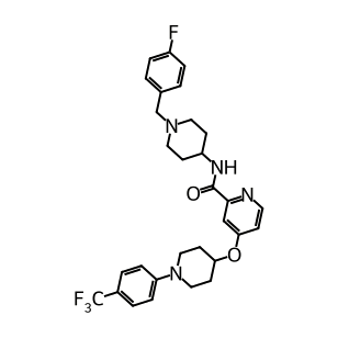 O=C(NC1CCN(Cc2ccc(F)cc2)CC1)c1cc(OC2CCN(c3ccc(C(F)(F)F)cc3)CC2)ccn1